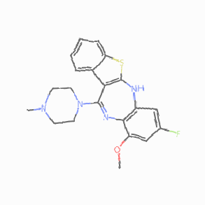 COc1cc(F)cc2c1N=C(N1CCN(C)CC1)c1c(sc3ccccc13)N2